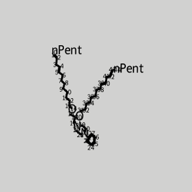 CCCCCC=CCC=CCCCCCCCCOCC(CN1CCN(c2ccccc2)CC1)OCCCCCCCCC=CCC=CCCCCC